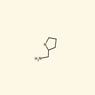 NCC1CCC[N]1